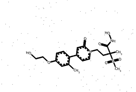 Cc1cc(OCCO)ccc1-c1ccn(CCC(C)(C(=O)NO)S(C)(=O)=O)c(=O)c1